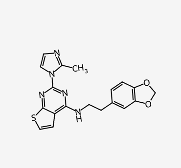 Cc1nccn1-c1nc(NCCc2ccc3c(c2)OCO3)c2ccsc2n1